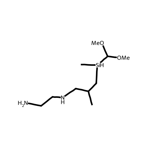 COC(OC)[SiH](C)CC(C)CNCCN